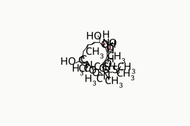 C/C1=C\C=C\[C@@H](CO)[C@@]2(O)C[C@H](OC(=O)N2)[C@@H](C)[C@@H]2O[C@@]2(C)[C@@H](OC(=O)[C@@H](C)N(C)C(=O)CSC(C)C)CC(=O)N(C)c2cc(cc(CO)c2Cl)C1